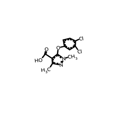 Cc1nn(C)c(Oc2ccc(Cl)c(Cl)c2)c1C(=O)O